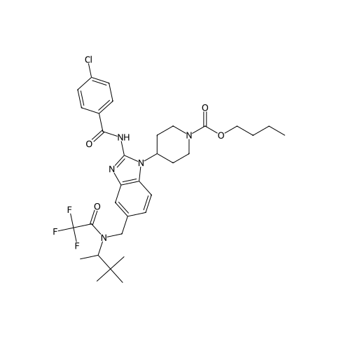 CCCCOC(=O)N1CCC(n2c(NC(=O)c3ccc(Cl)cc3)nc3cc(CN(C(=O)C(F)(F)F)C(C)C(C)(C)C)ccc32)CC1